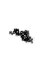 CN/C=C(\C=N)NC(=O)c1nn(C)c2c1[C@H]1CN(C(=O)N1O)[C@@H]2C(=O)N(C)C